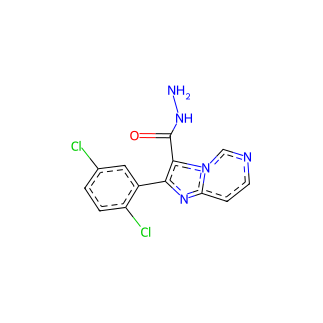 NNC(=O)c1c(-c2cc(Cl)ccc2Cl)nc2ccncn12